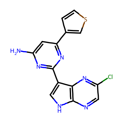 Nc1cc(-c2ccsc2)nc(-c2c[nH]c3ncc(Cl)nc23)n1